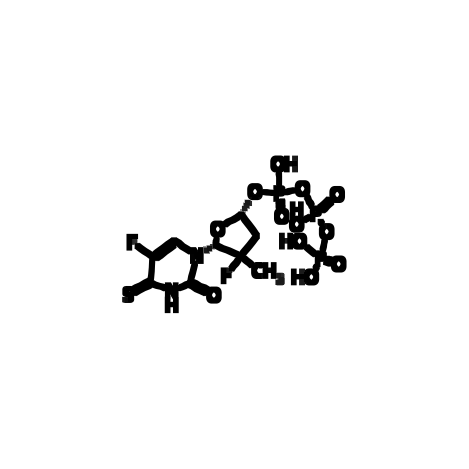 CC1(F)C[C@@H](OP(=O)(O)OP(=O)(O)OP(=O)(O)O)O[C@H]1n1cc(F)c(=S)[nH]c1=O